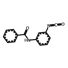 O=C=Nc1cccc(NC(=O)c2ccccc2)c1